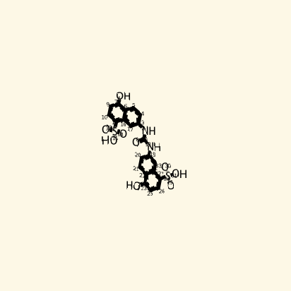 O=C(Nc1ccc2c(O)ccc(S(=O)(=O)O)c2c1)Nc1ccc2c(O)ccc(S(=O)(=O)O)c2c1